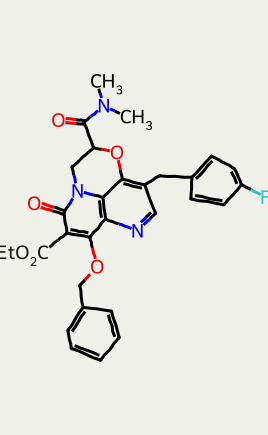 CCOC(=O)c1c(OCc2ccccc2)c2ncc(Cc3ccc(F)cc3)c3c2n(c1=O)CC(C(=O)N(C)C)O3